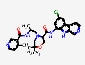 Cc1ccncc1C(=O)N[C@@H](C)CN1CC(C)(C)OCC1C(=O)Nc1cc(Cl)cc2c1[nH]c1cnccc12